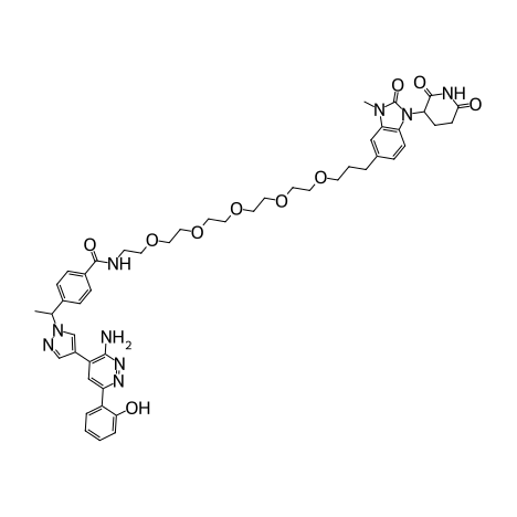 CC(c1ccc(C(=O)NCCOCCOCCOCCOCCOCCCc2ccc3c(c2)n(C)c(=O)n3C2CCC(=O)NC2=O)cc1)n1cc(-c2cc(-c3ccccc3O)nnc2N)cn1